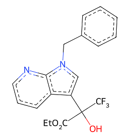 CCOC(=O)C(O)(c1cn(Cc2ccccc2)c2ncccc12)C(F)(F)F